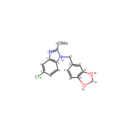 COc1nc2cc(Cl)ccc2n1Cc1ccc2c(c1)OCO2